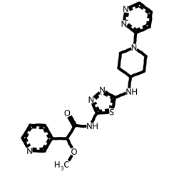 COC(C(=O)Nc1nnc(NC2CCN(c3cccnn3)CC2)s1)c1cccnc1